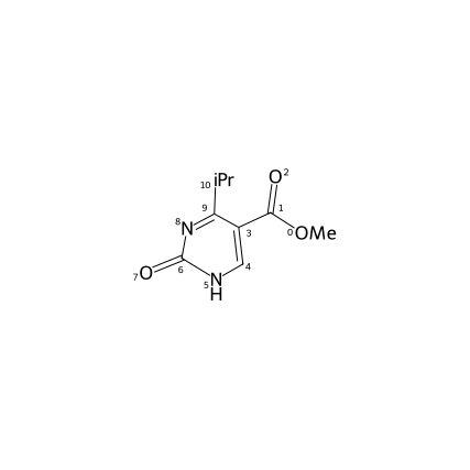 COC(=O)c1c[nH]c(=O)nc1C(C)C